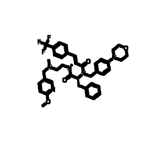 COc1ccc(CN(C)CCN(C)C(=O)[C@H](Cc2ccccc2)N(Cc2ccc(N3CCOCC3)cc2)C(=O)/C=C/c2ccc(C(F)(F)F)cc2)cn1